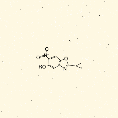 O=[N+]([O-])c1cc2oc(C3CC3)nc2cc1O